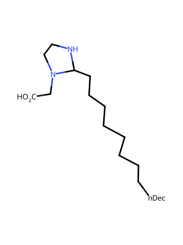 CCCCCCCCCCCCCCCCCCC1NCCN1CC(=O)O